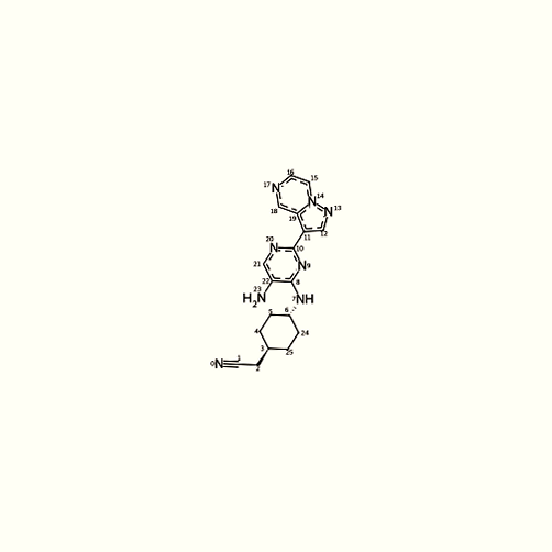 N#CC[C@H]1CC[C@H](Nc2nc(-c3cnn4ccncc34)ncc2N)CC1